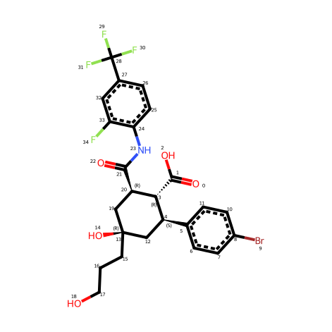 O=C(O)[C@@H]1[C@@H](c2ccc(Br)cc2)C[C@](O)(CCCO)C[C@H]1C(=O)Nc1ccc(C(F)(F)F)cc1F